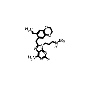 C=Cc1cc2c(cc1Cc1nc3c(N)nc(F)nc3n1CCCNC(C)(C)C)OCCO2